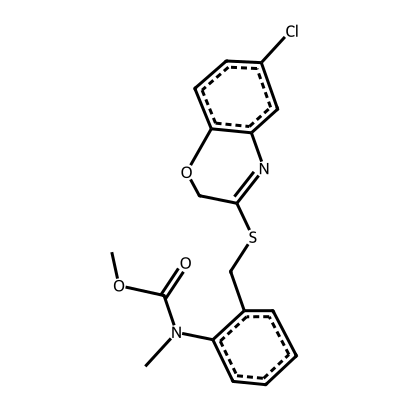 COC(=O)N(C)c1ccccc1CSC1=Nc2cc(Cl)ccc2OC1